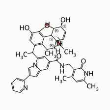 Cc1cc(C)c(CNC(=O)c2cc3cc(-c4ccccn4)cn3c(C(C)c3cc(O)c4c5c3C[C@@H]3[C@@H]6C=C[C@H](O)[C@H](O4)[C@]56CCN3C)c2C)c(=O)[nH]1